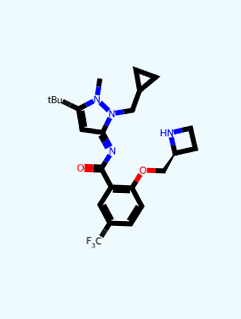 Cn1c(C(C)(C)C)c/c(=N\C(=O)c2cc(C(F)(F)F)ccc2OC[C@@H]2CCN2)n1CC1CC1